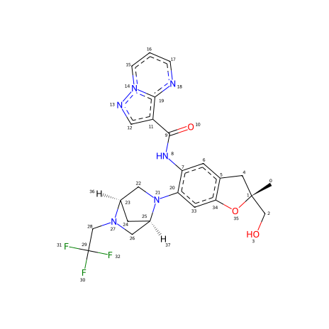 C[C@]1(CO)Cc2cc(NC(=O)c3cnn4cccnc34)c(N3C[C@H]4C[C@@H]3CN4CC(F)(F)F)cc2O1